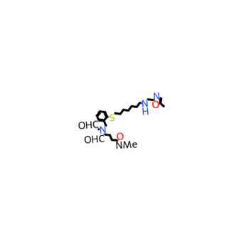 CNC(=O)CCC(C=O)N(C)Cc1c(C=O)cccc1SCCCCCCCNCc1ncc(C)o1